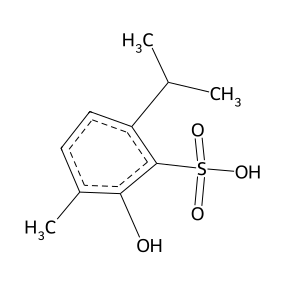 Cc1ccc(C(C)C)c(S(=O)(=O)O)c1O